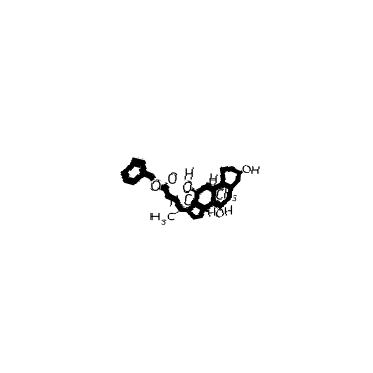 C[C@H](CCC(=O)OCc1ccccc1)C1CC[C@H]2C3[C@H](O)CC4C[C@H](O)CCC4(C)[C@H]3C[C@H](O)C12C